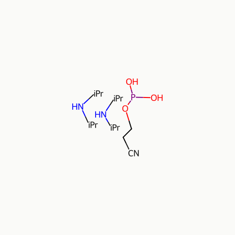 CC(C)NC(C)C.CC(C)NC(C)C.N#CCCOP(O)O